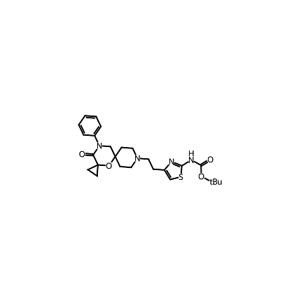 CC(C)(C)OC(=O)Nc1nc(CCN2CCC3(CC2)CN(c2ccccc2)C(=O)C2(CC2)O3)cs1